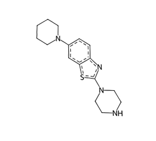 c1cc2nc(N3CCNCC3)sc2cc1N1CCCCC1